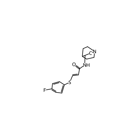 O=C(/C=C/Sc1ccc(F)cc1)NC1CN2CCC1CC2